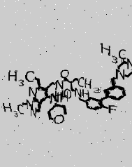 CCc1nc2c(cnn2CC)c(NC2CCOCC2)c1CNC(=O)C(CC)C(=O)NCc1ccc(F)c(-c2cccc(CN3CCN[C@@H](C)C3)c2)c1